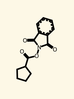 O=C(ON1C(=O)c2ccccc2C1=O)C1CCCC1